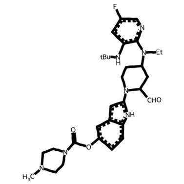 CCN(c1ncc(F)cc1NC(C)(C)C)C1CCN(c2cc3cc(OC(=O)N4CCN(C)CC4)ccc3[nH]2)C(C=O)C1